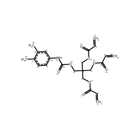 C=CC(=O)OCC(COC(=O)C=C)(COC(=O)C=C)COC(=O)Nc1ccc(C)c(C)c1